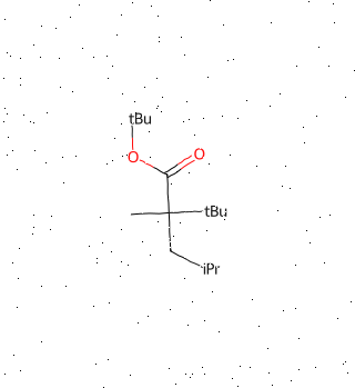 CC(C)CC(C)(C(=O)OC(C)(C)C)C(C)(C)C